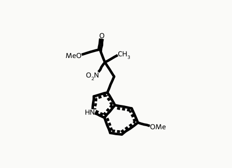 COC(=O)C(C)(Cc1c[nH]c2ccc(OC)cc12)[N+](=O)[O-]